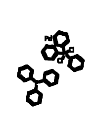 ClP(Cl)(c1ccccc1)(c1ccccc1)c1ccccc1.[Pd].c1ccc(P(c2ccccc2)c2ccccc2)cc1